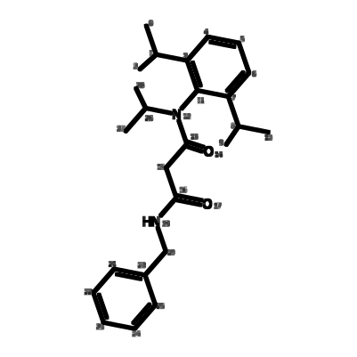 CC(C)c1cccc(C(C)C)c1N(C(=O)CC(=O)NCc1ccccc1)C(C)C